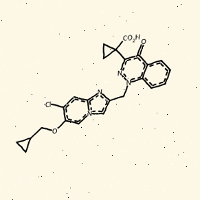 O=C(O)C1(c2nn(Cc3cn4cc(OCC5CC5)c(Cl)cc4n3)c3ccccc3c2=O)CC1